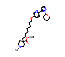 CC(=O)N1CCC(CCCCCCCCOc2ccc(-c3ccnn3C3CCCCO3)nc2)(C(=O)OC(C)(C)C)CC1